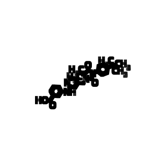 CC(C)(C)c1ccc(N2C(=O)N(Cc3ccnc(Nc4cccc(C(=O)O)c4)c3)C(C)(C)C2=O)cc1